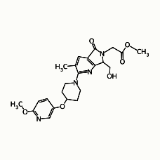 COC(=O)CN1C(=O)c2cc(C)c(N3CCC(Oc4ccc(OC)nc4)CC3)nc2C1CO